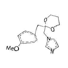 COc1ccc(CC2(Cn3ccnc3)OCCCO2)cc1